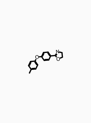 Cc1ccc(Oc2ccc(C3=NCCO3)cc2)cc1